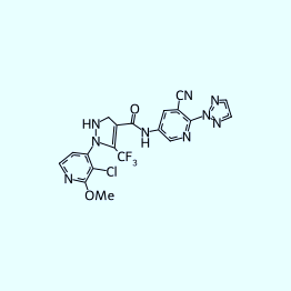 COc1nccc(N2NCC(C(=O)Nc3cnc(-n4nccn4)c(C#N)c3)=C2C(F)(F)F)c1Cl